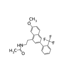 COc1ccc2cc(-c3ccccc3C(F)(F)F)cc(CCNC(C)=O)c2c1